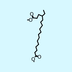 CCC(CCCCCCCCCCCCC(=O)OC)CCC(=O)OC